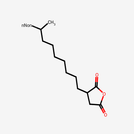 CCCCCCCCCC(C)CCCCCCCC1CC(=O)OC1=O